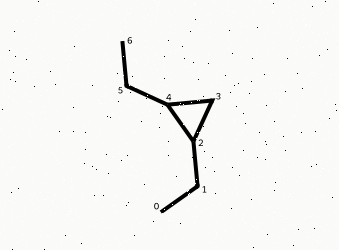 CCC1CC1CC